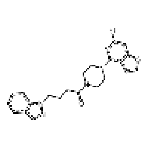 CCc1cc2sccc2c(N2CCN(C(=O)CCCn3ncc4ccccc43)CC2)n1